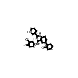 FC1=C(Cl)C[C@@H](NC2NC(C3=CCCNC3)NC3=C2CC(C2=C(Cl)CCCC2)CC3)CC1